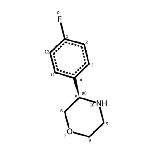 Fc1ccc([C@@H]2COCCN2)cc1